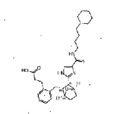 O=C(O)CCc1ccccc1C[C@@H]1[C@H](c2nc(C(=S)NCCCCC3CCCCC3)c[nH]2)[C@H]2CC[C@@H]1O2